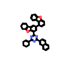 C1=Cc2c(oc3c(-c4nc(C5=CCCCC5)nc(-c5ccc6ccccc6c5)n4)cc(-c4cccc5oc6ccccc6c45)cc23)CC1